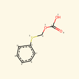 O=C(O)OCSc1ccccc1